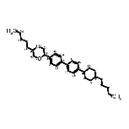 CCCCCC1CCC(c2ccc(-c3ccc(C4COC(CCCCC)CO4)cc3)cc2)CC1